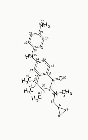 C[C@H]1C(N(C)CC2CC2)C(=O)c2ccc(Nc3ccc(N)cc3)cc2C1(C)C